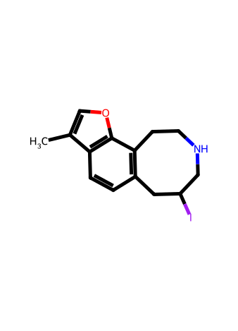 Cc1coc2c3c(ccc12)CC(I)CNCC3